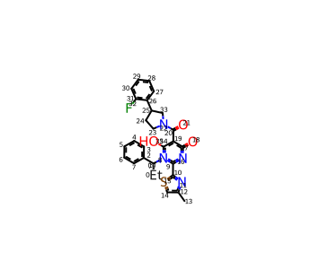 CC[C@@H](c1ccccc1)n1c(-c2nc(C)cs2)nc(=O)c(C(=O)N2CCC(c3ccccc3F)C2)c1O